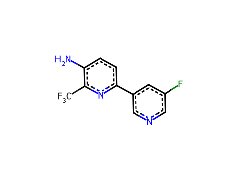 Nc1ccc(-c2cncc(F)c2)nc1C(F)(F)F